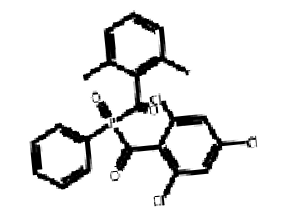 Cc1cccc(C)c1C(=O)P(=O)(C(=O)c1c(Cl)cc(Cl)cc1Cl)c1ccccc1